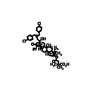 CC(C)C1=C2[C@H]3CC[C@@H]4[C@@]5(C)CC[C@H](OC(=O)CC(C)(C)C(=O)O)C(C)(C)C5CC[C@@]4(C)[C@]3(C)CC[C@@]2([C@@H](O)CN(Cc2ccc(Cl)cc2)Cc2ccc(Cl)cc2)CC1=O